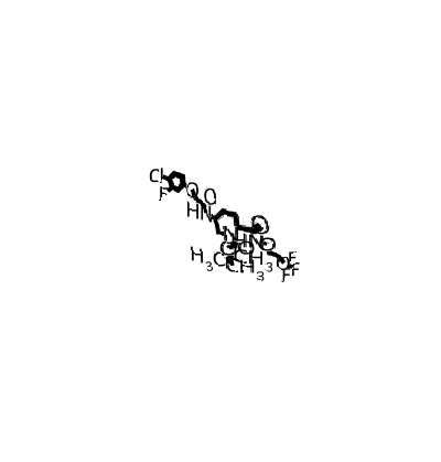 CC(C)(C)OC(=O)N1CC(NC(=O)COc2ccc(Cl)c(F)c2)CCC1C(=O)NOCCOC(F)(F)F